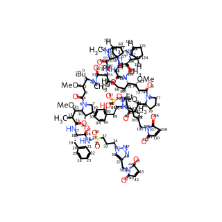 CCC(C)C(C(CC(=O)N1CCCC1C(OC)C(C)C(=O)N[C@@H](Cc1ccccc1)C(=O)NS(=O)(=O)CCCn1cc(CN2C(=O)C=CC2=O)nn1)OC)N(C)C(=O)[C@@H](NC(=O)[C@@H]1[C@H]2CC[C@H](C2)N1C)C(C)CC[C@@H](CC)[C@@H]([C@@H](CC(=O)N1CCC[C@H]1[C@H](OC)[C@@H](C)C(=O)N[C@@H](Cc1ccccc1)P(=O)(O)OCCCCCCN1C(=O)C=CC1=O)OC)N(C)C(=O)[C@@H](NC(=O)[C@@H]1[C@H]2CC[C@H](C2)N1C)C(C)C